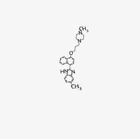 Cc1ccc2[nH]c(-c3ccc(OCCCN4CCN(C)CC4)c4ccccc34)nc2c1